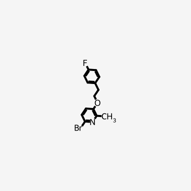 Cc1nc(Br)ccc1OCCc1ccc(F)cc1